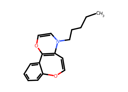 CCCCCn1ccoc2c3ccccc3occc1=2